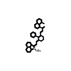 C=C(/C=C/C1=C(c2ccccc2)C(=C/C=c2\c3cccc4cccc(c43)n2CCCC)/CCC1)c1cccc2cccc(C)c12